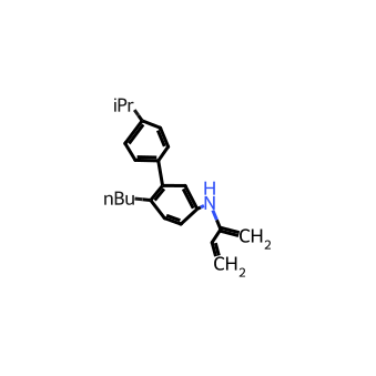 C=CC(=C)Nc1ccc(CCCC)c(-c2ccc(C(C)C)cc2)c1